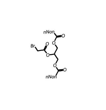 CCCCCCCCCC(=O)OCC(COC(=O)CCCCCCCCC)OC(=O)CBr